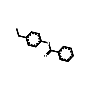 CCc1ccc(OC(=O)c2[c]cccc2)cc1